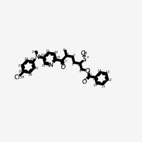 CC(CCC(COC(=O)c1ccccc1)[S+]=O)C(=O)c1ccc(N(C)c2ccc(Cl)cc2)cn1